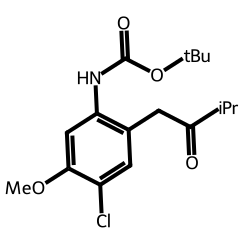 COc1cc(NC(=O)OC(C)(C)C)c(CC(=O)C(C)C)cc1Cl